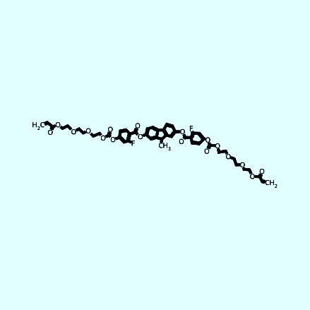 C=CC(=O)OCCOCCOCCOC(=O)Oc1ccc(C(=O)Oc2ccc3c(c2)C(C)c2cc(OC(=O)c4ccc(OC(=O)OCCOCCOCCOC(=O)C=C)cc4F)ccc2-3)c(F)c1